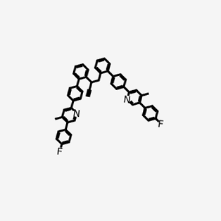 C#CC(Cc1ccccc1-c1ccc(-c2cc(C)c(-c3ccc(F)cc3)cn2)cc1)c1ccccc1-c1ccc(-c2cc(C)c(-c3ccc(F)cc3)cn2)cc1